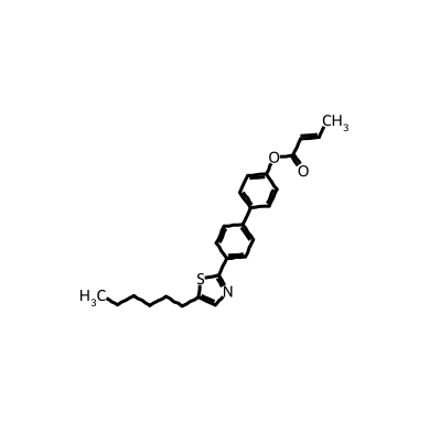 CC=CC(=O)Oc1ccc(-c2ccc(-c3ncc(CCCCCC)s3)cc2)cc1